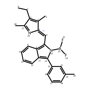 CCC1=C(C)/C(=C/c2c3ccccc3c(-c3cccc(C)c3)n2B(F)F)N=C1C